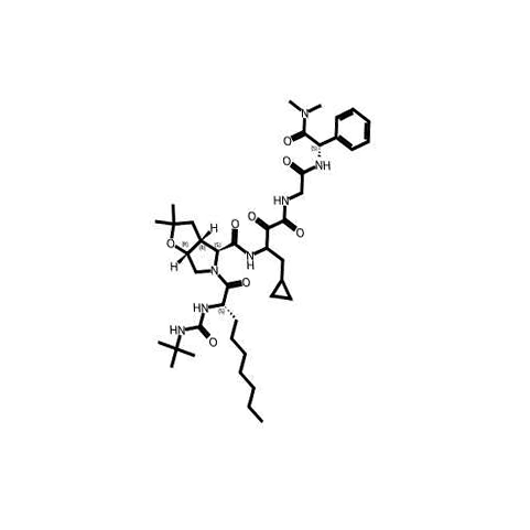 CCCCCCC[C@H](NC(=O)NC(C)(C)C)C(=O)N1C[C@@H]2OC(C)(C)C[C@@H]2[C@H]1C(=O)NC(CC1CC1)C(=O)C(=O)NCC(=O)N[C@H](C(=O)N(C)C)c1ccccc1